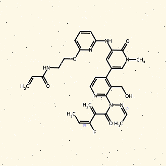 C=CC(=O)NCCOc1cccc(Nc2cc(-c3ccnc(N(/N=C\C)C(=O)C(=C)/C(F)=C\C)c3CO)cn(C)c2=O)n1